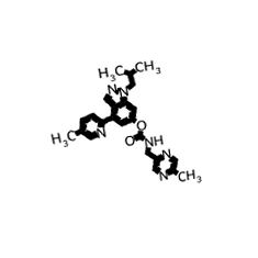 Cc1ccc(-c2cc(OC(=O)NCc3cnc(C)cn3)cc3c2cnn3CC(C)C)nc1